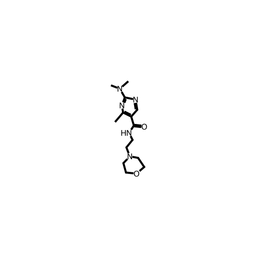 Cc1nc(N(C)C)ncc1C(=O)NCCN1CCOCC1